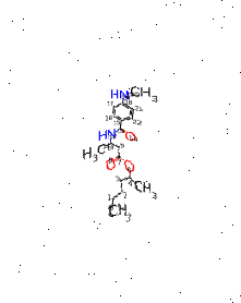 CCCCC(C)OC(=O)CC(C)NC(=O)c1ccc(NC)cc1